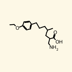 CCOc1ccc(CCCC(C)CC(CN)C(=O)O)cc1